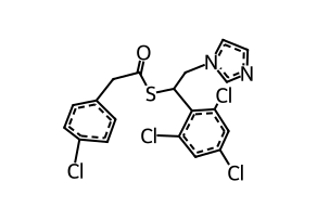 O=C(Cc1ccc(Cl)cc1)SC(Cn1ccnc1)c1c(Cl)cc(Cl)cc1Cl